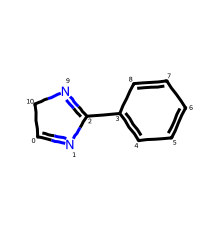 C1=NC(c2ccccc2)=NC1